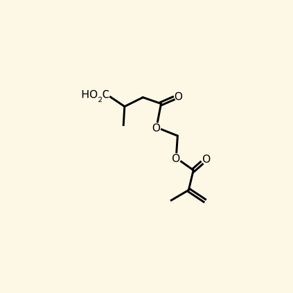 C=C(C)C(=O)OCOC(=O)CC(C)C(=O)O